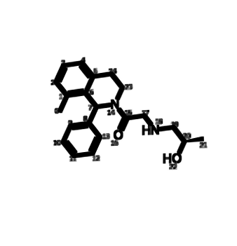 Cc1cccc2c1C(c1ccccc1)N(C(=O)CNC[C@@H](C)O)CC2